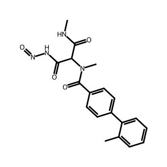 CNC(=O)C(C(=O)NN=O)N(C)C(=O)c1ccc(-c2ccccc2C)cc1